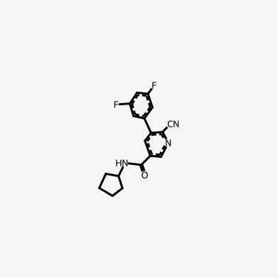 N#Cc1ncc(C(=O)NC2CCCC2)cc1-c1cc(F)cc(F)c1